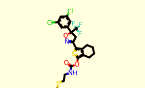 CSCCNC(=O)Oc1sc(C2=NOC(c3cc(Cl)cc(Cl)c3)(C(F)(F)F)C2)c2c1CCCC2